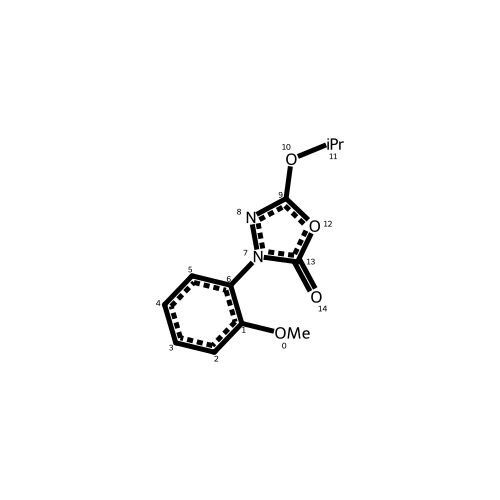 COc1ccccc1-n1nc(OC(C)C)oc1=O